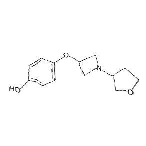 Oc1ccc(OC2CN(C3CCOC3)C2)cc1